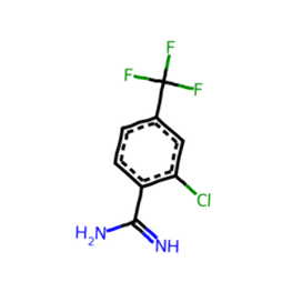 N=C(N)c1ccc(C(F)(F)F)cc1Cl